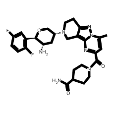 Cc1cc(C(=O)N2CCC(C(N)=O)CC2)nc2c3c(nn12)CCN([C@H]1CO[C@H](c2cc(F)ccc2F)[C@@H](N)C1)C3